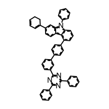 C1=CCCC(c2ccc3c4c(-c5ccc(-c6cccc(-c7nc(-c8ccccc8)nc(-c8ccccc8)n7)c6)cc5)cccc4n(-c4ccccc4)c3c2)=C1